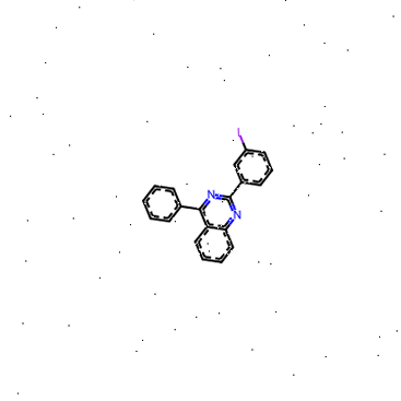 Ic1cccc(-c2nc(-c3ccccc3)c3ccccc3n2)c1